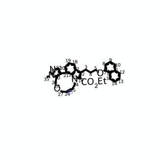 CCOC(=O)c1c(CCCOc2cccc3ccccc23)c2cccc3c2n1C/C=C\COCc1c-3cnn1C